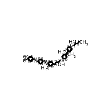 CCCC(O)COc1ccc(C(C)(C)c2ccc(OCC(O)CCc3ccc(N=Nc4ccc(/N=N/c5ccc([N+](=O)[O-])cc5)cc4)c(C)c3)cc2)cc1